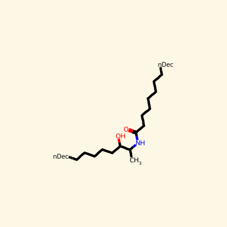 CCCCCCCCCCCCCCCCCC(=O)NC(C)C(O)CCCCCCCCCCCCCCC